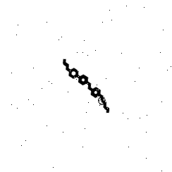 CC=CCOCc1ccc(CCc2ccc(C3CCC(CC=CC)CC3)cc2)cc1